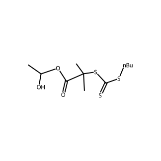 CCCCSC(=S)SC(C)(C)C(=O)OC(C)O